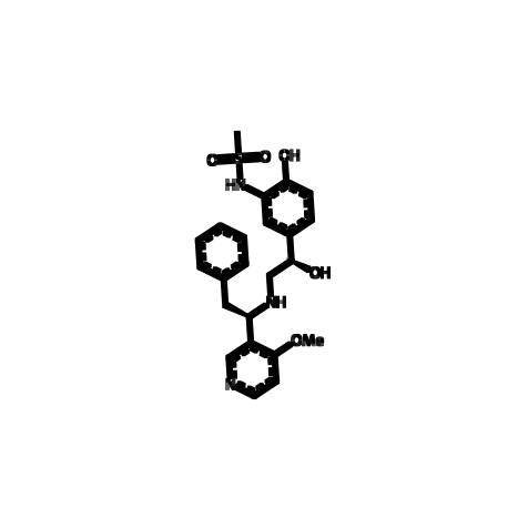 COc1ccncc1[C@@H](Cc1ccccc1)NC[C@H](O)c1ccc(O)c(NS(C)(=O)=O)c1